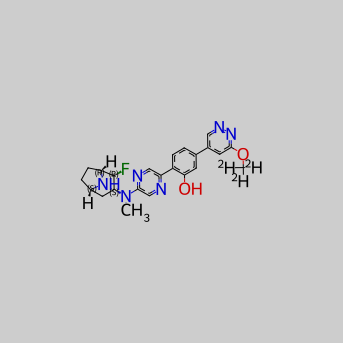 [2H]C([2H])([2H])Oc1cc(-c2ccc(-c3cnc(N(C)[C@H]4C[C@@H]5CC[C@@H](N5)[C@H]4F)cn3)c(O)c2)cnn1